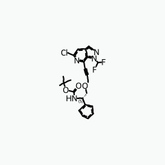 CC(C)(C)OC(=O)N[C@H](COCC#Cc1nc(Cl)cc2cnn(C(F)F)c12)c1ccccc1